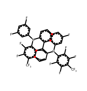 Fc1cc(F)cc(N(C2=C(c3ccccc3N(c3cc(F)cc(F)c3)c3c(F)c(F)c(C(F)(F)F)c(F)c3F)CCC=C2)c2c(F)c(F)c(C(F)(F)F)c(F)c2F)c1